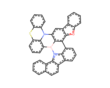 c1ccc2c(c1)Sc1cccc3c1N2c1cc2c(oc4ccccc42)c2c1B3n1c3c-2cccc3c2ccc3ccccc3c21